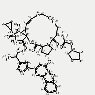 CC(C)c1csc(-c2cc(O[C@@H]3C[C@H]4C(=O)N[C@]5(C(=O)NS(=O)(=O)C6CC6)C[C@H]5/C=C\CCCCC[C@H](NC(=O)OC5CCCC5)C(=O)N4C3)n3nc4ccccc4c3n2)n1